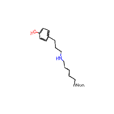 CCCCCCCCCCCCCCNCCCc1ccc(O)cc1